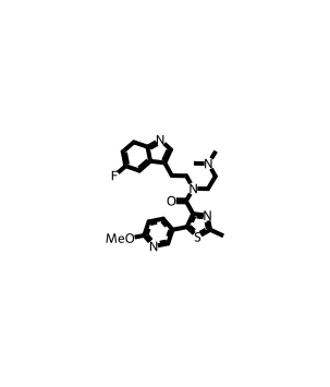 COc1ccc(-c2sc(C)nc2C(=O)N(CCC2=CN=C3CC=C(F)C=C23)CCN(C)C)cn1